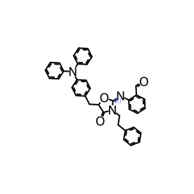 O=Cc1ccccc1/N=C1/OC(Cc2ccc(N(c3ccccc3)c3ccccc3)cc2)C(=O)N1CCc1ccccc1